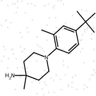 Cc1cc(C(C)(C)C)ccc1N1CCC(C)(N)CC1